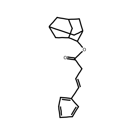 O=C(CC=Cc1ccccc1)OC1C2CC3CC(C2)CC1C3